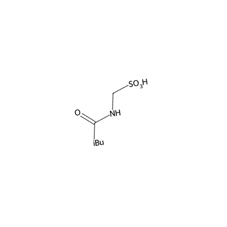 CCC(C)C(=O)NCS(=O)(=O)O